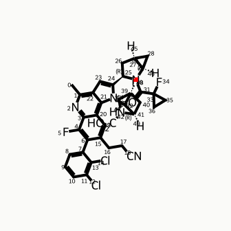 Cc1nc2c(F)c(-c3cccc(Cl)c3Cl)c(CCC#N)cc2c2c1cc([C@H]1C[C@H]3C[C@H]3N1C(=O)C1(F)CC1)n2[C@H]1[C@@H]2C[C@H]1N(C(=O)O)C2